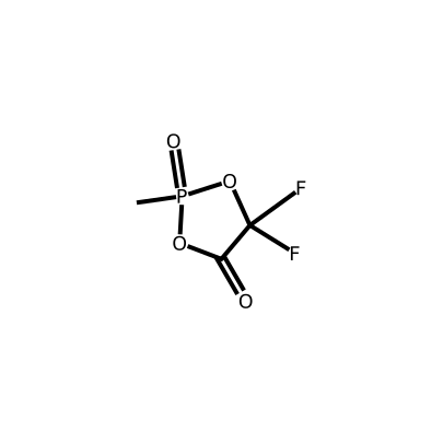 CP1(=O)OC(=O)C(F)(F)O1